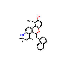 COc1c(O)ccc2c1-c1ccc3c(c1/C(=C/c1cccc4ccccc14)O2)C(C)=CC(C)(C)N3